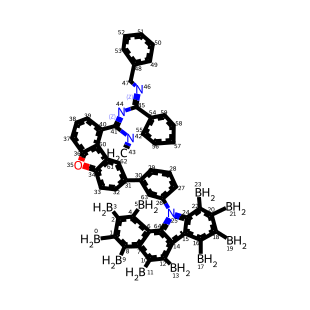 Bc1c(B)c(B)c2c(c1B)c(B)c(B)c1c3c(B)c(B)c(B)c(B)c3n(-c3cccc(-c4ccc5oc6cccc(/C(N=C)=N/C(=N\Cc7ccccc7)c7ccccc7)c6c5c4)c3)c21